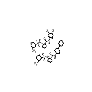 O=C(Nc1ccc(-c2ccccc2)cc1)c1sccc1NS(=O)(=O)c1cccc(C(F)(F)F)c1.O=C(Nc1ccc(Cl)c(Cl)c1)c1sccc1NS(=O)(=O)c1cccc(C(F)(F)F)c1